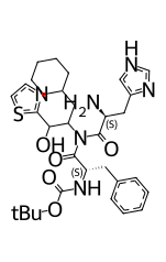 CC(C)(C)OC(=O)N[C@@H](Cc1ccccc1)C(=O)N(C(=O)[C@@H](N)Cc1c[nH]cn1)C(CC1CCCCC1)C(O)c1nccs1